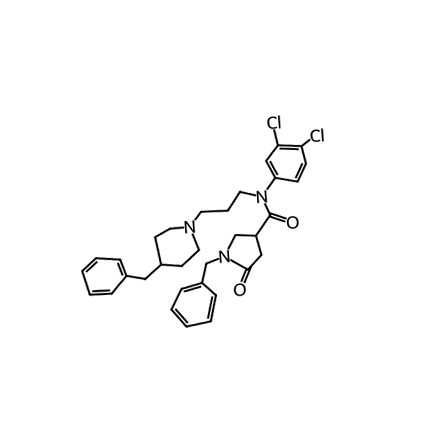 O=C1CC(C(=O)N(CCCN2CCC(Cc3ccccc3)CC2)c2ccc(Cl)c(Cl)c2)CN1Cc1ccccc1